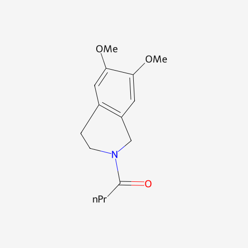 [CH2]CCC(=O)N1CCc2cc(OC)c(OC)cc2C1